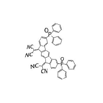 N#CC(C#N)=C1c2ccc(P(=O)(c3ccccc3)c3ccccc3)cc2-c2cc3c(cc21)C(=C(C#N)C#N)c1ccc(P(=O)(c2ccccc2)c2ccccc2)cc1-3